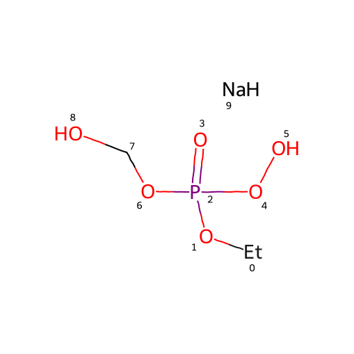 CCOP(=O)(OO)OCO.[NaH]